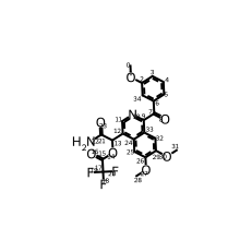 COc1cccc(C(=O)c2ncc(C(OC(=O)C(F)(F)F)C(N)=O)c3cc(OC)c(OC)cc23)c1